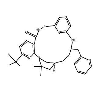 CC(C)(C)c1ccc2c(n1)N1C[C@@H](CCC(Cc3ccccn3)Nc3cccc(n3)SNC2=O)CC1(C)C